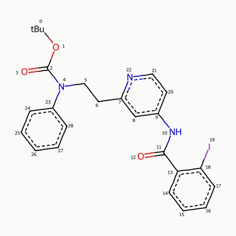 CC(C)(C)OC(=O)N(CCc1cc(NC(=O)c2ccccc2I)ccn1)c1ccccc1